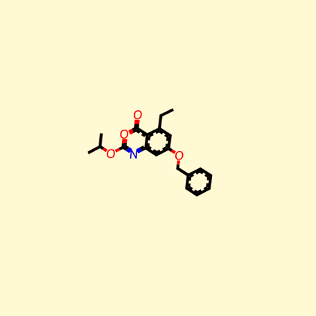 CCc1cc(OCc2ccccc2)cc2nc(OC(C)C)oc(=O)c12